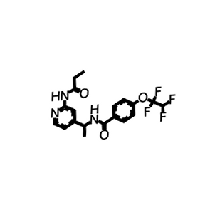 CCC(=O)Nc1cc(C(C)NC(=O)c2ccc(OC(F)(F)C(F)F)cc2)ccn1